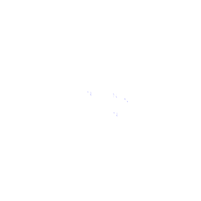 Cc1cc(N(C)C)c2nnc(C)n2c1